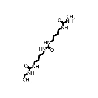 CCNC(=O)NCCCCNC(=O)NCCCCNC(=O)NC